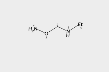 CCNCON